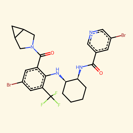 O=C(N[C@H]1CCCC[C@H]1Nc1c(C(=O)N2CC3CC3C2)cc(Br)cc1C(F)(F)F)c1cncc(Br)c1